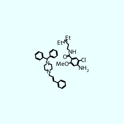 C(=C\c1ccccc1)/CN1CCN(C(c2ccccc2)c2ccccc2)CC1.CCN(CC)CCNC(=O)c1cc(Cl)c(N)cc1OC